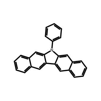 c1ccc(-n2c3cc4ccccc4cc3c3cc4ccccc4cc32)cc1